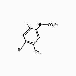 CCOC(=O)Nc1cc(C)c(Br)cc1F